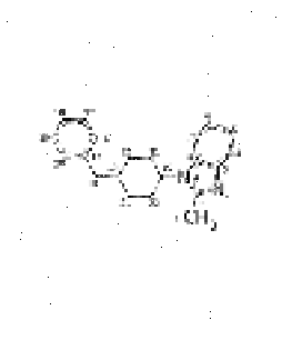 Cc1nc2ccccc2n1C1CCC(Cc2ccccc2)CC1